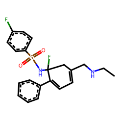 CCNCC1=CC=C(c2ccccc2)C(F)(NS(=O)(=O)c2ccc(F)cc2)C1